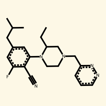 CCC1CN(Cc2cccnn2)CCN1c1cc(CC(C)C)cc(F)c1C#N